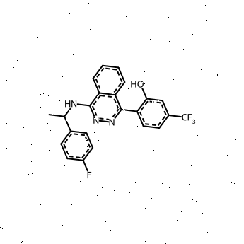 CC(Nc1nnc(-c2ccc(C(F)(F)F)cc2O)c2ccccc12)c1ccc(F)cc1